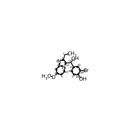 CCc1nc2cc(OC)ccn2c1C(O)c1ccc(O)c(Br)c1